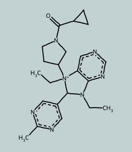 CCN1c2ncncc2[N+](CC)(C2CCN(C(=O)C3CC3)C2)C1c1cnc(C)nc1